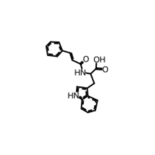 O=C(C=Cc1ccccc1)NC(Cc1c[nH]c2ccccc12)C(=O)O